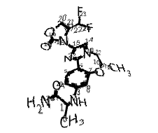 CC(Nc1ccc2c(c1)O[C@@H](C)Cn1cc(N3C(=O)OC[C@H]3C(F)F)nc1-2)C(N)=O